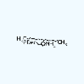 CCCCCCCCCCCCCCCCCCC.CCCCCCCCCCCCc1ccc(N)cc1